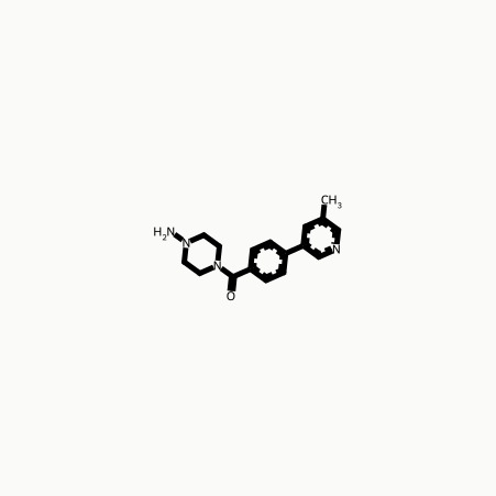 Cc1cncc(-c2ccc(C(=O)N3CCN(N)CC3)cc2)c1